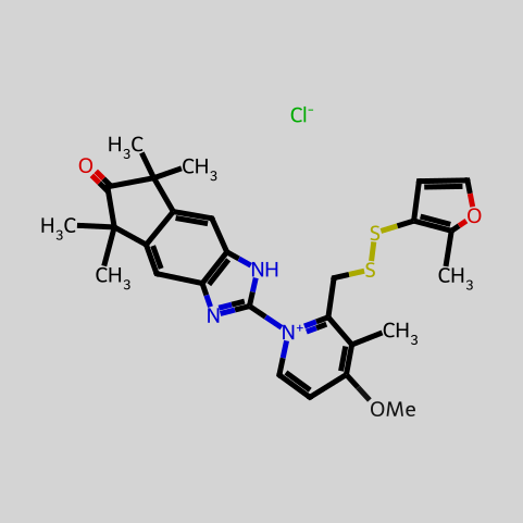 COc1cc[n+](-c2nc3cc4c(cc3[nH]2)C(C)(C)C(=O)C4(C)C)c(CSSc2ccoc2C)c1C.[Cl-]